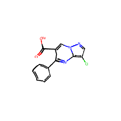 O=C(O)c1cn2ncc(Cl)c2nc1-c1ccccc1